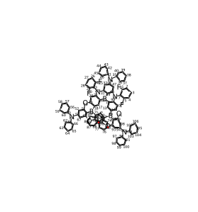 Fc1cccc(F)c1N1c2cc3c(cc2B2c4cc5c(cc4N(c4c(F)cccc4F)c4cc(N(c6ccccc6)c6ccccc6)cc1c42)Oc1cc(N(c2ccccc2)c2ccccc2)cc2c1B5c1sc4ccccc4c1O2)B1c2sc4ccccc4c2Oc2cc(N(c4ccccc4)c4ccccc4)cc(c21)O3